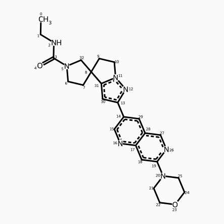 CCNC(=O)N1CCC2(CCn3nc(-c4cnc5cc(N6CCOCC6)ncc5c4)cc32)C1